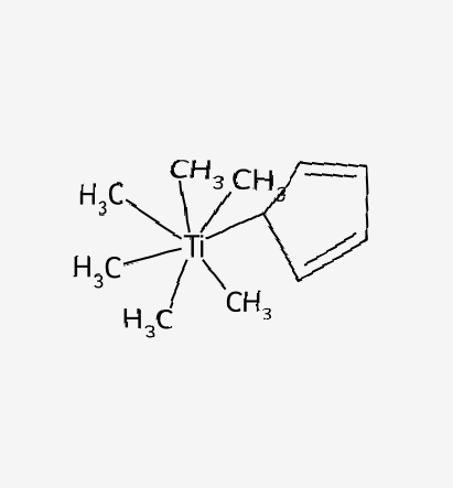 [CH3][Ti]([CH3])([CH3])([CH3])([CH3])([CH3])[CH]1C=CC=C1